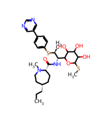 CCC[C@H]1CC[C@@H](C(=O)N[C@@H](C2OC(SC)C(O)C(O)C2O)[C@H](C)Sc2ccc(-c3cncnc3)cc2)N(C)CC1